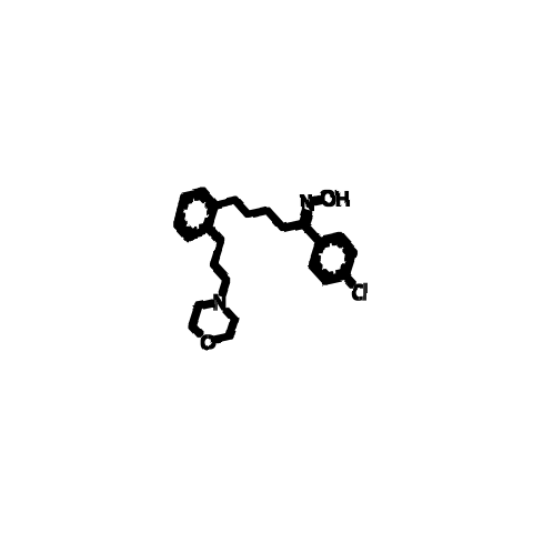 ON=C(CCCCc1ccccc1CCCN1CCOCC1)c1ccc(Cl)cc1